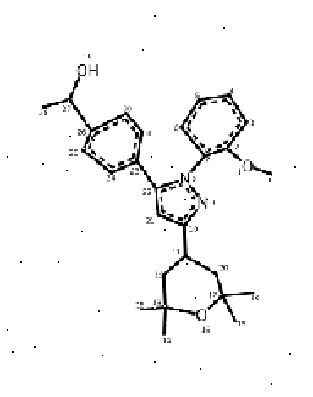 COc1ccccc1-n1nc(C2CC(C)(C)OC(C)(C)C2)cc1-c1ccc(C(C)O)cc1